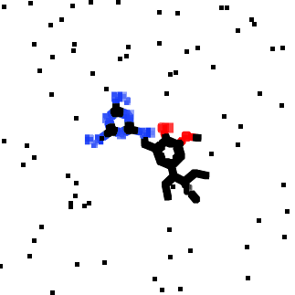 CCC(CC)C(CC)c1cc(CNc2nc(N)nc(N)n2)c(O)c(OC)c1